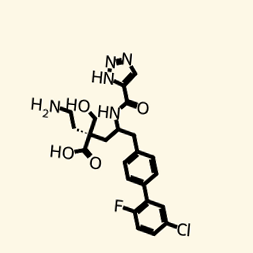 NCC[C@](CO)(CC(Cc1ccc(-c2cc(Cl)ccc2F)cc1)NC(=O)c1cnn[nH]1)C(=O)O